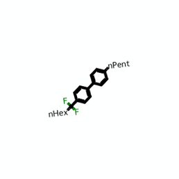 CCCCCCC(F)(F)c1ccc(-c2ccc(CCCCC)cc2)cc1